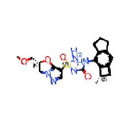 COC[C@H]1Cn2ncc([S@](N)(=O)=NC(=O)Nc3c4c(cc5c3[C@@H](C)C5)CCC4)c2O1